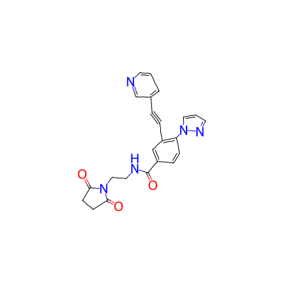 O=C(NCCN1C(=O)CCC1=O)c1ccc(-n2cccn2)c(C#Cc2cccnc2)c1